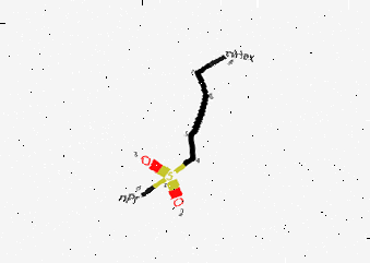 [CH2]CCS(=O)(=O)CCCCCCCCCC